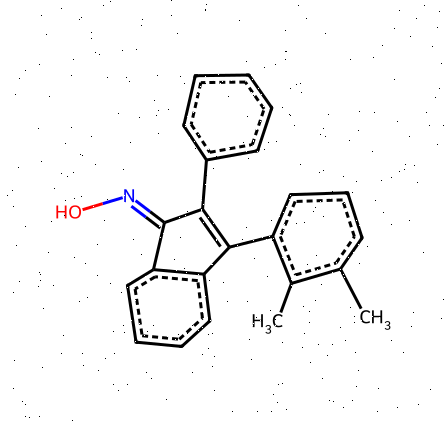 Cc1cccc(C2=C(c3ccccc3)C(=NO)c3ccccc32)c1C